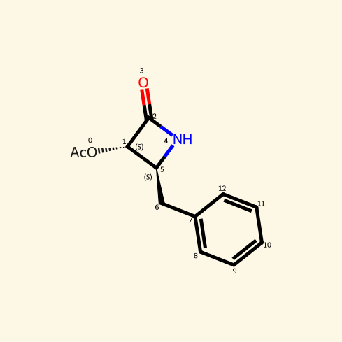 CC(=O)O[C@@H]1C(=O)N[C@H]1Cc1ccccc1